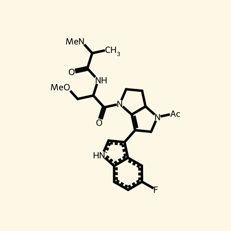 CNC(C)C(=O)NC(COC)C(=O)N1CCC2C1=C(c1c[nH]c3ccc(F)cc13)CN2C(C)=O